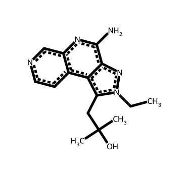 CCn1nc2c(N)nc3cnccc3c2c1CC(C)(C)O